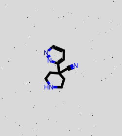 N#CC1(c2cccnn2)CCNCC1